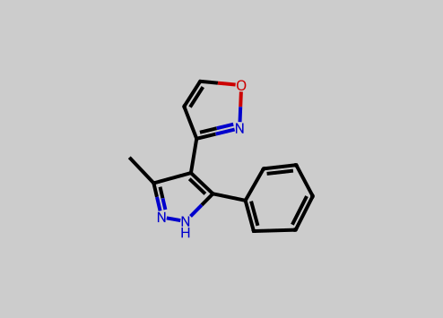 Cc1n[nH]c(-c2ccccc2)c1-c1ccon1